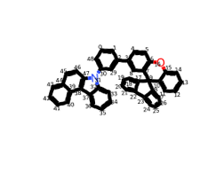 c1cc(-c2ccc3c(c2)C2(c4ccccc4O3)c3ccccc3-c3ccccc32)cc(-n2c3ccccc3c3c4ccccc4ccc32)c1